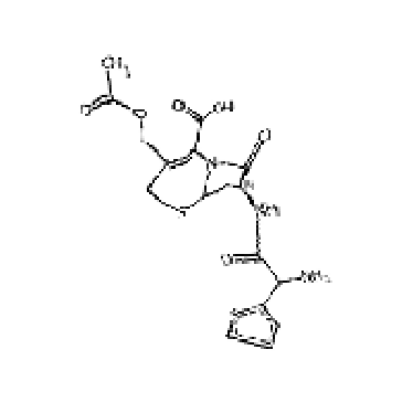 CC(=O)OCC1=C(C(=O)O)N2C(=O)[C@@H](NC(=O)C(N)c3cccs3)C2SC1